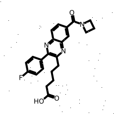 O=C(O)CCCCc1nc2cc(C(=O)N3CCC3)ccc2nc1-c1ccc(F)cc1